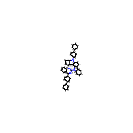 c1ccc(-c2ccc(-c3nc(-n4c5ccccc5c5ccc6c(c7ccccc7n6-c6ccc(-c7ccccc7)cc6)c54)nc4ccccc34)cc2)cc1